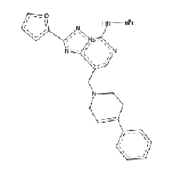 CCCNc1ncc(CN2CC=C(c3ccccc3)CC2)c2nc(-c3ccco3)nn12